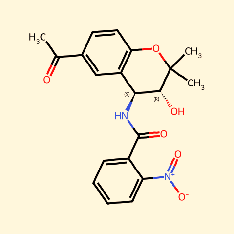 CC(=O)c1ccc2c(c1)[C@H](NC(=O)c1ccccc1[N+](=O)[O-])[C@@H](O)C(C)(C)O2